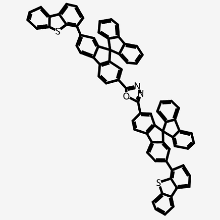 c1ccc2c(c1)-c1ccccc1C21c2cc(-c3nnc(-c4ccc5c(c4)C4(c6ccccc6-c6ccccc64)c4cc(-c6cccc7c6sc6ccccc67)ccc4-5)o3)ccc2-c2ccc(-c3cccc4c3sc3ccccc34)cc21